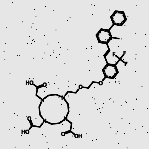 Cc1c(/C=C/c2cc(OCCOCCN3CCN(CC(=O)O)CCN(CC(=O)O)CCN(CC(=O)O)CC3)ccc2C(F)(F)F)cccc1-c1ccccc1